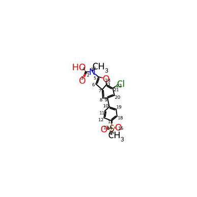 CN(C(=O)O)c1cc2cc(-c3ccc(S(C)(=O)=O)cc3)cc(Cl)c2o1